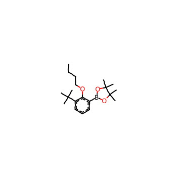 CCCCOc1c(B2OC(C)(C)C(C)(C)O2)cccc1C(C)(C)C